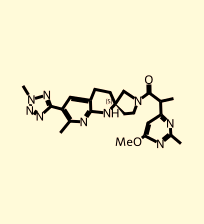 COc1cc(C(C)C(=O)N2CC[C@@]3(CCc4cc(-c5nnn(C)n5)c(C)nc4N3)C2)nc(C)n1